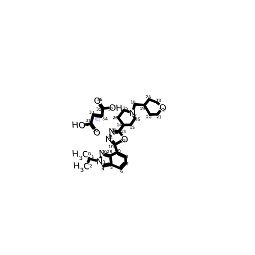 CC(C)n1cc2cccc(-c3nnc(C4CCN(CC5CCOCC5)CC4)o3)c2n1.O=C(O)/C=C/C(=O)O